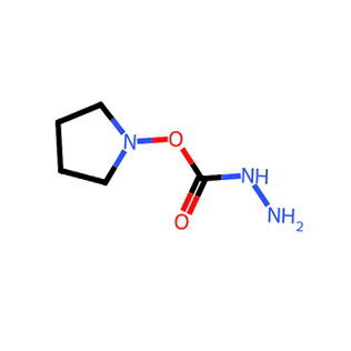 NNC(=O)ON1CCCC1